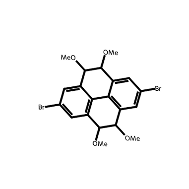 COC1c2cc(Br)cc3c2-c2c(cc(Br)cc2C(OC)C3OC)C1OC